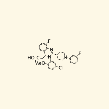 COc1ccc(Cl)cc1N1C(C2CCN(c3cccc(F)c3)CC2)=Nc2c(F)cccc2C1CC(=O)O